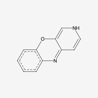 C1=CC2=Nc3ccccc3OC2=CN1